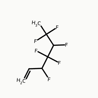 C=CC(F)C(F)(F)C(F)C(C)(F)F